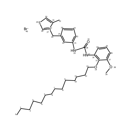 CCCCCCCCCCCCCCOc1c(NC(=O)Nc2cccc(C[n+]3cscc3C)c2)cccc1OC.[Br-]